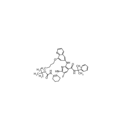 CCCCOc1cc(Nc2nc(N[C@@H]3CCCC[C@@H]3NC(=O)OC(C)(C)C)c(F)cc2C(=O)NC(C)(C)c2ccccc2)cc2cccnc12